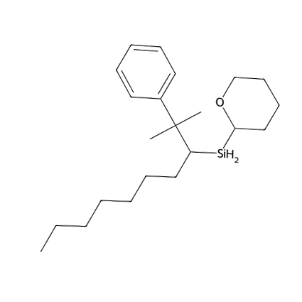 CCCCCCCC([SiH2]C1CCCCO1)C(C)(C)c1ccccc1